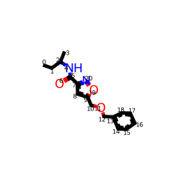 CCC(C)NC(=O)c1cc(COCc2ccccc2)on1